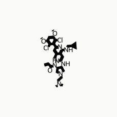 C=CC(=O)N[C@H]1CN(CCN(C)C)CC1Nc1cc2c(NCC3CC3)nc(-c3c(Cl)c(OC)cc(OC)c3Cl)cc2cn1